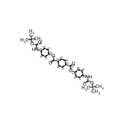 CC(C)(C)OC(=O)Nc1ccc(OC(=O)c2ccc(C(=O)Oc3ccc(NC(=O)OC(C)(C)C)cc3)cc2)cc1